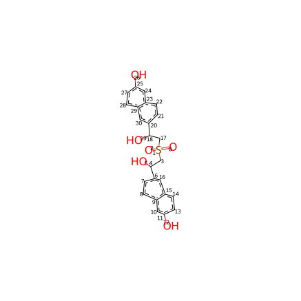 O=S(=O)(CC(O)c1ccc2cc(O)ccc2c1)CC(O)c1ccc2cc(O)ccc2c1